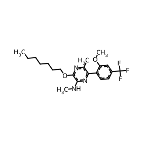 CCCCCCCOc1nc(C)c(-c2ccc(C(F)(F)F)cc2OC)nc1NC